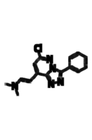 CN(C)C=Cc1cc(Cl)nn2c(-c3ccccc3)nnc12